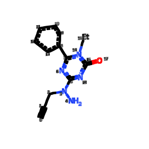 C#CCN(N)c1nc(-c2ccccc2)n(CC)c(=O)n1